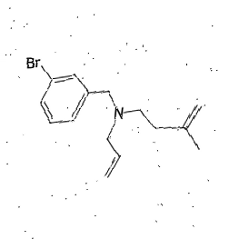 C=CCN(CCC(=C)C)Cc1cccc(Br)c1